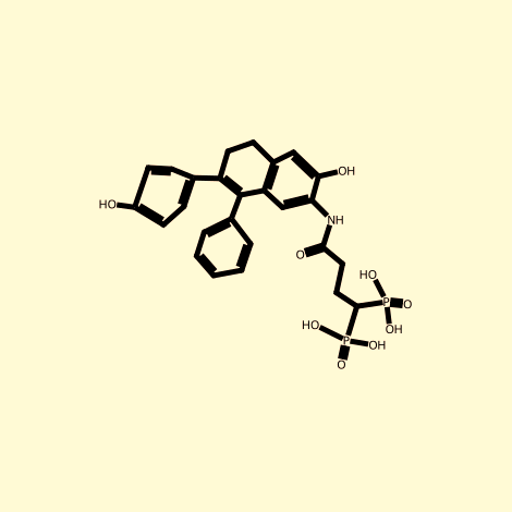 O=C(CCC(P(=O)(O)O)P(=O)(O)O)Nc1cc2c(cc1O)CCC(c1ccc(O)cc1)=C2c1ccccc1